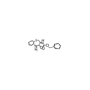 O=C(N[C@@H]1CSc2ccccc2NC1=O)OCc1ccccc1